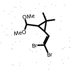 COC(OC)C1C(C=C(Br)Br)C1(C)C